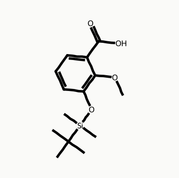 COc1c(O[Si](C)(C)C(C)(C)C)cccc1C(=O)O